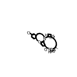 C[C@@H]1[C@@H](C)CCC[C@H](C)[C@@H]2CC[C@H]2CN2CCCCc3cc(Cl)ccc3COc3ccc(cc32)C(=O)NS1(=O)=O